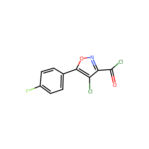 O=C(Cl)c1noc(-c2ccc(F)cc2)c1Cl